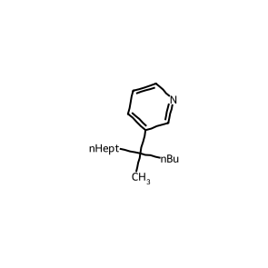 CCCCCCCC(C)(CCCC)c1cccnc1